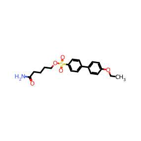 CCOc1ccc(-c2ccc(S(=O)(=O)OCCCCC(N)=O)cc2)cc1